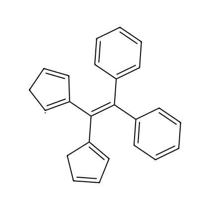 [C]1=C(C(C2=CC=CC2)=C(c2ccccc2)c2ccccc2)C=CC1